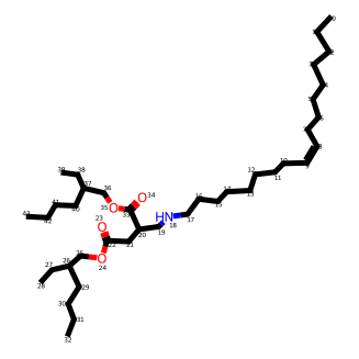 CCCCCCCC/C=C\CCCCCCCCNCC(CC(=O)OCC(CC)CCCC)C(=O)OCC(CC)CCCC